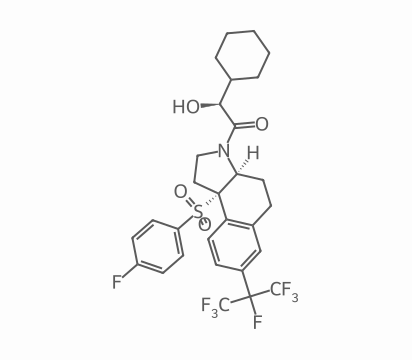 O=C([C@@H](O)C1CCCCC1)N1CC[C@]2(S(=O)(=O)c3ccc(F)cc3)c3ccc(C(F)(C(F)(F)F)C(F)(F)F)cc3CC[C@H]12